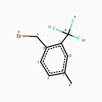 Cc1ccc(CBr)c(C(F)(F)F)c1